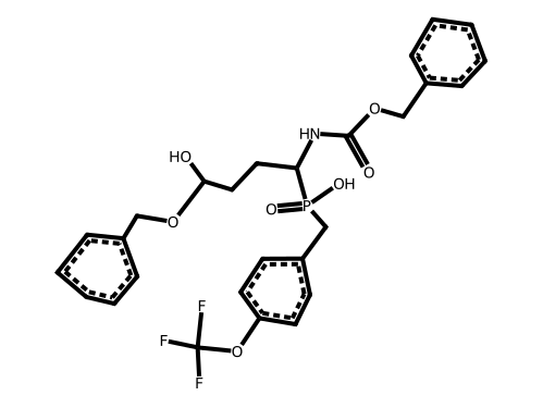 O=C(NC(CCC(O)OCc1ccccc1)P(=O)(O)Cc1ccc(OC(F)(F)F)cc1)OCc1ccccc1